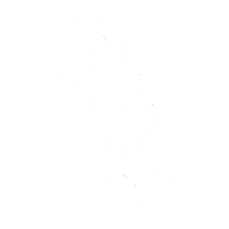 CC1c2c(cc(F)c(-c3cccc4cc[nH]c34)c2F)NC(C)(C)C1OC(=O)N(C)c1ccccc1